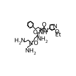 CCOc1cc(NC(=O)[C@H](CCc2ccccc2)NC(=O)[C@@H](N)CC(=O)N(CCN)CCN)ccn1